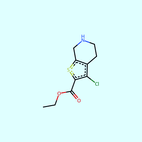 CCOC(=O)c1sc2c(c1Cl)CCNC2